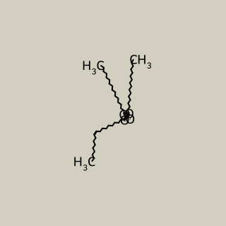 CCCCCCCC/C=C\CCCCCCCCOP(=O)(OCCCCCCCCCCCCCCCC)OCCCCCCCCCCCCCCCC